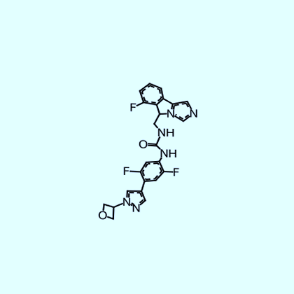 O=C(NCC1c2c(F)cccc2-c2cncn21)Nc1cc(F)c(-c2cnn(C3COC3)c2)cc1F